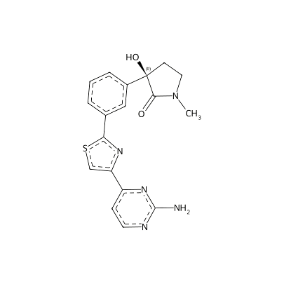 CN1CC[C@@](O)(c2cccc(-c3nc(-c4ccnc(N)n4)cs3)c2)C1=O